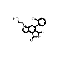 O=C1NC(=O)c2c1c(-c1ccccc1Cl)cc1c2ccn1CCO